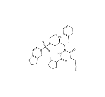 C#CCCC(=O)N(NC(=O)C1CCCN1)[C@@H](Cc1ccccc1)[C@H](O)CN(CC(C)C)S(=O)(=O)c1ccc2c(c1)CCO2